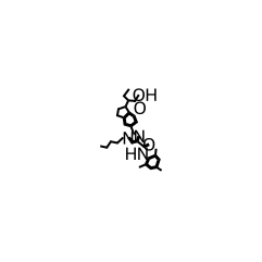 CCCCCn1cc(C(=O)Nc2c(C)cc(C)cc2C)nc1-c1ccc2c(c1)CCC2C(CC)C(=O)O